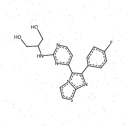 OCC(CO)Nc1nccc(-c2c(-c3ccc(F)cc3)nc3sccn23)n1